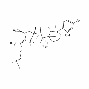 CC(=O)O[C@H]1C[C@@]2(C)[C@H](C[C@@H](O)[C@@H]3[C@@]4(C)CC[C@@H](O)[C@](C)(c5ccc(Br)cc5)C4CC[C@@]32C)C1=C(CCC=C(C)C)C(=O)O